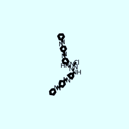 Clc1nc(Nc2ccc(N=Nc3ccc(N=Nc4ccccc4)cc3)cc2)nc(Nc2ccc(N=Nc3ccc(N=Nc4ccccc4)cc3)cc2)n1